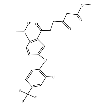 COC(=O)CC(=O)CCC(=O)c1cc(Oc2ccc(C(F)(F)F)cc2Cl)ccc1[S+](C)[O-]